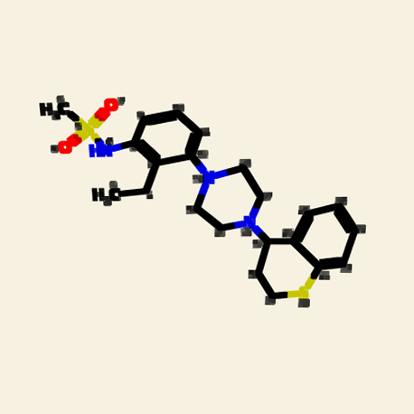 CCc1c(NS(C)(=O)=O)cccc1N1CCN(C2CCSc3ccccc32)CC1